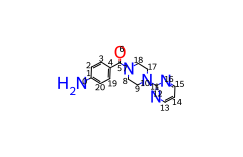 Nc1ccc(C(=O)N2CCN(c3ncccn3)CC2)cc1